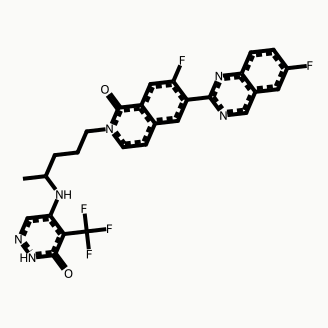 CC(CCCn1ccc2cc(-c3ncc4cc(F)ccc4n3)c(F)cc2c1=O)Nc1cn[nH]c(=O)c1C(F)(F)F